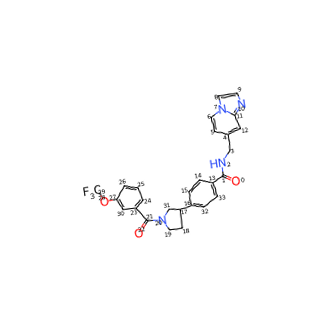 O=C(NCc1ccn2ccnc2c1)c1ccc(C2CCN(C(=O)c3cccc(OC(F)(F)F)c3)C2)cc1